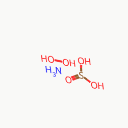 N.O=S(O)O.OO